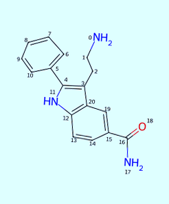 NCCc1c(-c2ccccc2)[nH]c2ccc(C(N)=O)cc12